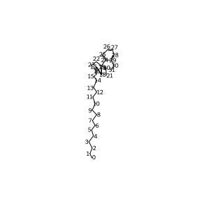 CCCCCCCCCCCCCCCC[N+](C)(C)C(CC)(CC)c1ccccc1CC